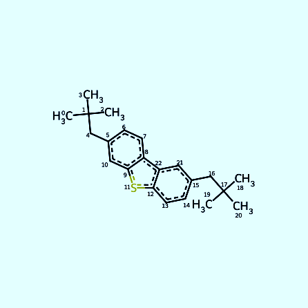 CC(C)(C)Cc1ccc2c(c1)sc1ccc(CC(C)(C)C)cc12